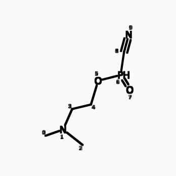 CN(C)CCO[PH](=O)C#N